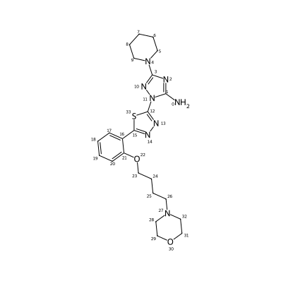 Nc1nc(N2CCCCC2)nn1-c1nnc(-c2ccccc2OCCCCN2CCOCC2)s1